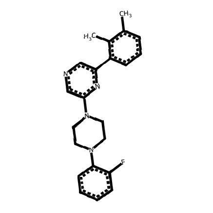 Cc1cccc(-c2cncc(N3CCN(c4ccccc4F)CC3)n2)c1C